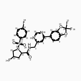 O=C(NCc1cc(-c2ccc3c(c2)OC(F)(F)O3)ncn1)C1CC(F)CN1S(=O)(=O)c1ccc(F)cc1